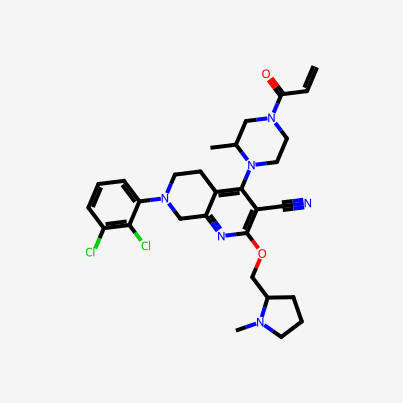 C=CC(=O)N1CCN(c2c(C#N)c(OCC3CCCN3C)nc3c2CCN(c2cccc(Cl)c2Cl)C3)C(C)C1